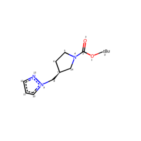 CC(C)(C)OC(=O)N1CC[C@H](Cn2cccn2)C1